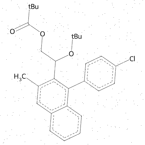 Cc1cc2ccccc2c(-c2ccc(Cl)cc2)c1C(COC(=O)C(C)(C)C)OC(C)(C)C